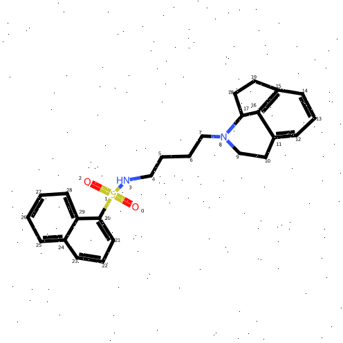 O=S(=O)(NCCCCN1CCc2cccc3c2C1CC3)c1cccc2ccccc12